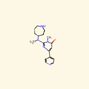 CN(c1nc(-c2ccncc2)cc(=O)n1C)C1CCCNCC1